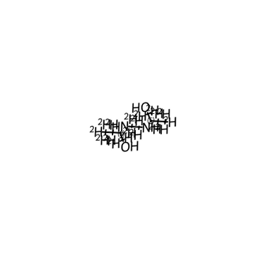 [2H]C([2H])(O)[C@@H](NC([2H])([2H])C([2H])([2H])N[C@H](C([2H])([2H])O)C([2H])([2H])C([2H])([2H])[2H])C([2H])([2H])C([2H])([2H])[2H]